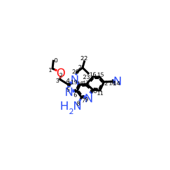 CCOCc1nc2c(N)nc3cc(C#N)ccc3c2n1CC(C)C